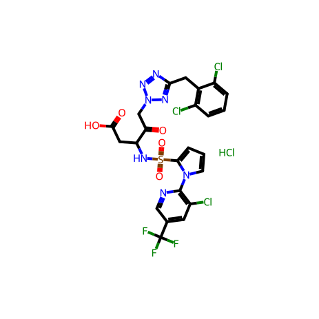 Cl.O=C(O)CC(NS(=O)(=O)c1cccn1-c1ncc(C(F)(F)F)cc1Cl)C(=O)Cn1nnc(Cc2c(Cl)cccc2Cl)n1